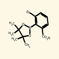 CCc1cccc(C(=O)O)c1B1OC(C)(C)C(C)(C)O1